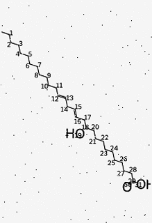 CCCCCCCCCCCCC=CCC=CCC(O)CCCCCCCCCC(=O)O